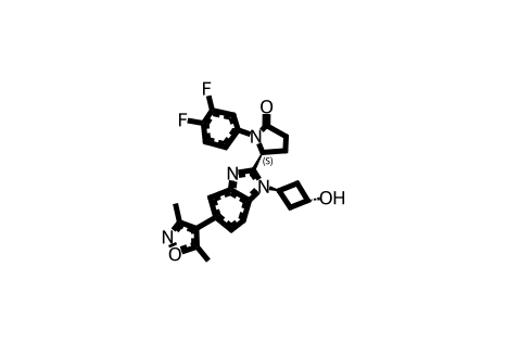 Cc1noc(C)c1-c1ccc2c(c1)nc([C@@H]1CCC(=O)N1c1ccc(F)c(F)c1)n2[C@H]1C[C@H](O)C1